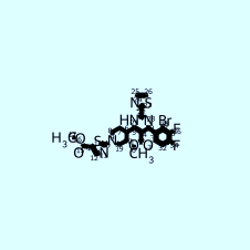 COC(=O)C1=C(C2CCN(c3ncc(C(=O)OC)s3)CC2)NC(c2nccs2)=NC1c1ccc(F)c(F)c1Br